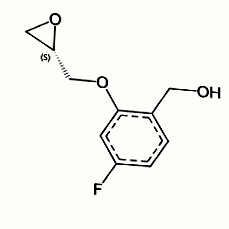 OCc1ccc(F)cc1OC[C@@H]1CO1